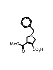 COC(=O)C1=C(C(=O)O)CN(Cc2ccccc2)C1